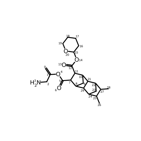 C=C(CN)OC(=O)C1C2CC(C1C(=O)OC1CCCCO1)C1C3CC(C(C)C3C)C21